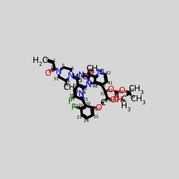 C=CC(=O)N1CCN(c2nc(=O)n3c4nc(c(F)cc24)-c2c(F)cccc2OCC(O)C(OC(=O)OC(C)(C)C)c2ccnc(C(C)C)c2-3)[C@@H](C)C1